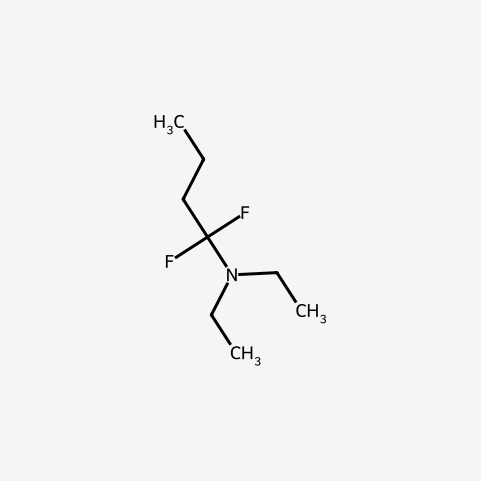 CCCC(F)(F)N(CC)CC